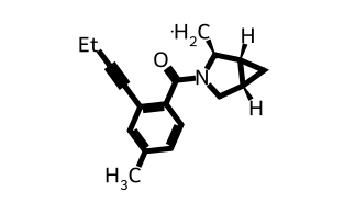 [CH2][C@H]1[C@@H]2C[C@@H]2CN1C(=O)c1ccc(C)cc1C#CCC